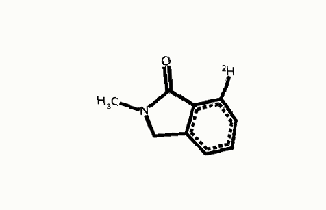 [2H]c1cccc2c1C(=O)N(C)C2